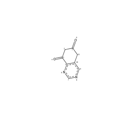 O=C1CC(=O)c2ncncc2C1